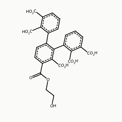 O=C(O)c1cccc(-c2ccc(C(=O)OCCO)c(C(=O)O)c2-c2cccc(C(=O)O)c2C(=O)O)c1C(=O)O